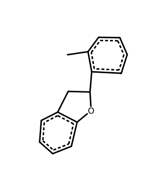 Cc1ccccc1C1Cc2ccccc2O1